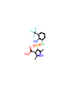 Cc1[nH]c(C)c(S(=O)(=O)Nc2c(Cl)cccc2C(F)(F)F)c1C(=O)O